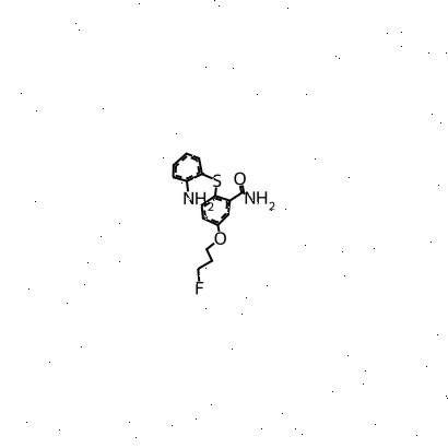 NC(=O)c1cc(OCCCF)ccc1Sc1ccccc1N